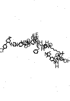 Cc1ncsc1-c1ccc([C@H](C)NC(=O)[C@@H]2C[C@@H](O)CN2C(=O)[C@@H](CCCCCCC(=O)N2C[C@@H]3C[C@H]2CN3CC[C@H](CSc2ccccc2)Nc2ccc(S(=O)(=O)NC(=O)c3ccc(N4CCN(CC5=C(c6ccc(Cl)cc6)CCC6(CC6)C5)CC4)cc3)cc2S(=O)(=O)C(F)(F)F)C(C)(C)C)cc1